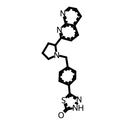 O=c1[nH]nc(-c2ccc(CN3CCCC3c3ccc4cccnc4n3)cc2)s1